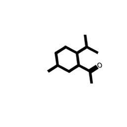 CC(=O)[C]1CC(C)CCC1C(C)C